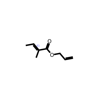 C=CCOC(=O)/C(C)=C/C